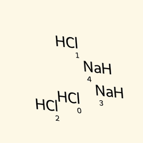 Cl.Cl.Cl.[NaH].[NaH]